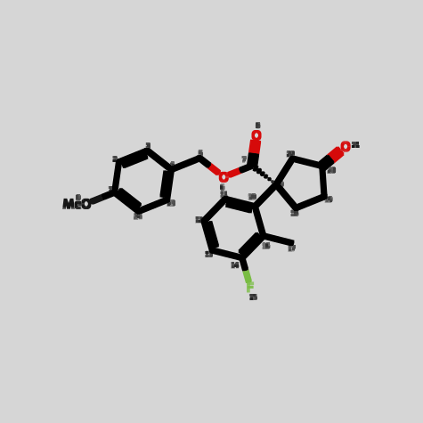 COc1ccc(COC(=O)[C@@]2(c3cccc(F)c3C)CCC(=O)C2)cc1